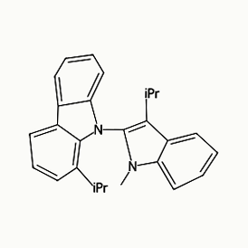 CC(C)c1c(-n2c3ccccc3c3cccc(C(C)C)c32)n(C)c2ccccc12